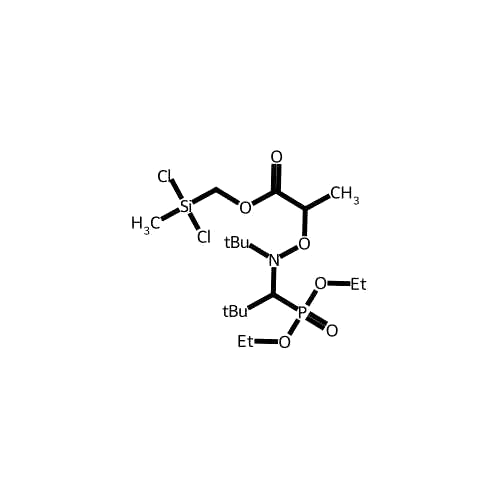 CCOP(=O)(OCC)C(N(OC(C)C(=O)OC[Si](C)(Cl)Cl)C(C)(C)C)C(C)(C)C